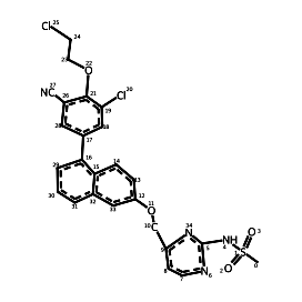 CS(=O)(=O)Nc1nccc(COc2ccc3c(-c4cc(Cl)c(OCCCl)c(C#N)c4)cccc3c2)n1